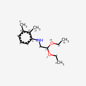 CCOC(CNc1cccc(C)c1C)OCC